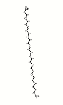 CCCCOCCOCCOCCOCCOCCOCCOCCOCCOCCO